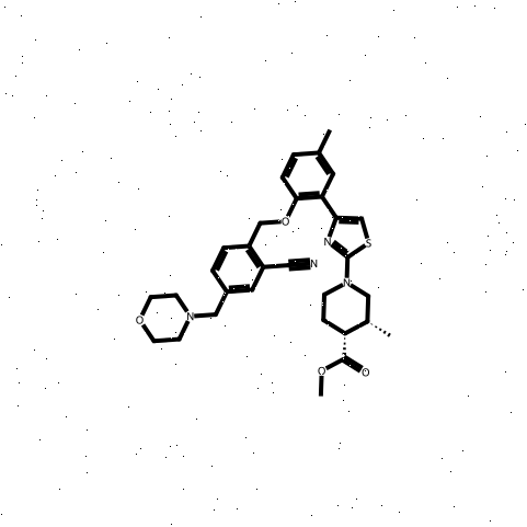 COC(=O)[C@@H]1CCN(c2nc(-c3cc(C)ccc3OCc3ccc(CN4CCOCC4)cc3C#N)cs2)C[C@@H]1C